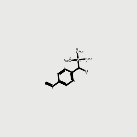 C=Cc1ccc(C(CC)[Si](OC)(OC)OC)cc1